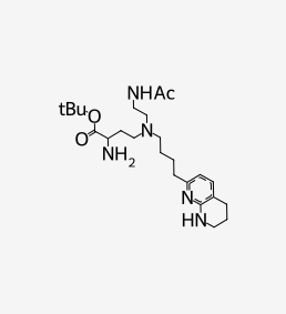 CC(=O)NCCN(CCCCc1ccc2c(n1)NCCC2)CCC(N)C(=O)OC(C)(C)C